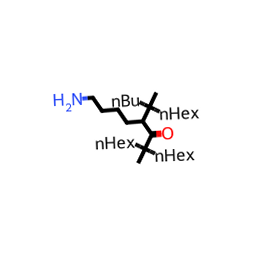 CCCCCCC(C)(CCCCCC)C(=O)C(CCCCN)C(C)(CCCC)CCCCCC